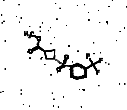 COC(=O)[C@H]1C[C@H](S(=O)(=O)c2cccc(C(F)(F)F)c2)C1